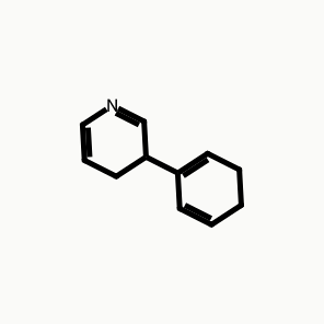 C1=CC(C2C=NC=CC2)=CCC1